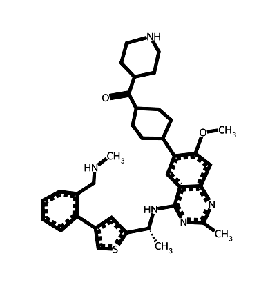 CNCc1ccccc1-c1csc([C@@H](C)Nc2nc(C)nc3cc(OC)c(C4CCC(C(=O)C5CCNCC5)CC4)cc23)c1